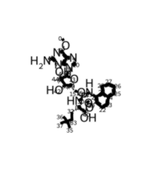 COc1nc(N)nc2c1ncn2C1O[C@H](COP(=O)(Nc2cccc3ccccc23)N[C@@H](CCC(C)(C)C)C(=O)O)[C@@H](O)[C@@]1(C)O